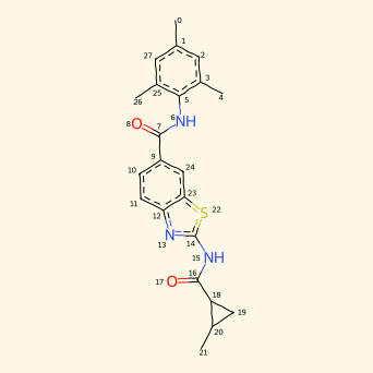 Cc1cc(C)c(NC(=O)c2ccc3nc(NC(=O)C4CC4C)sc3c2)c(C)c1